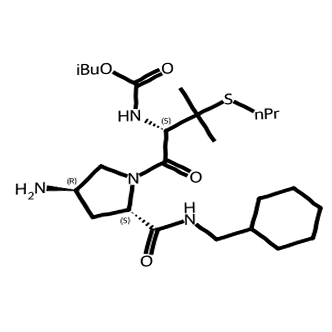 CCCSC(C)(C)[C@@H](NC(=O)OCC(C)C)C(=O)N1C[C@H](N)C[C@H]1C(=O)NCC1CCCCC1